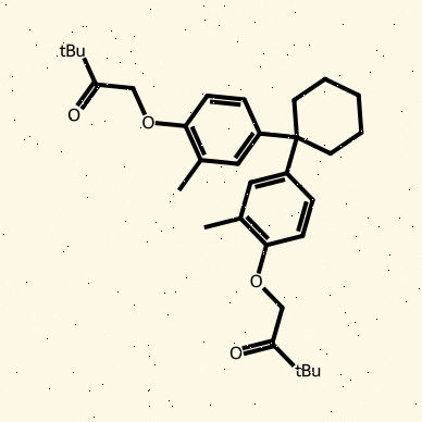 Cc1cc(C2(c3ccc(OCC(=O)C(C)(C)C)c(C)c3)CCCCC2)ccc1OCC(=O)C(C)(C)C